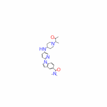 CC(=O)C(C)N1CCC(Nc2ccc(-n3ccc4cc(C(=O)N(C)C)ccc43)nc2)CC1